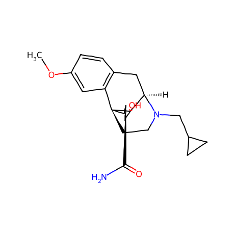 COc1ccc2c(c1)[C@]13CCN(CC4CC4)[C@H](C2)[C@]1(O)C[C@H](C(N)=O)C3